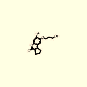 COc1cc2oc(=O)c3c(c2cc1OCCCO)CCC3